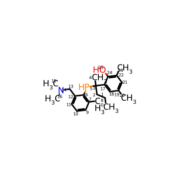 CCCC(C)(Pc1c(C)cccc1CN(C)C)c1cc(C)cc(C)c1O